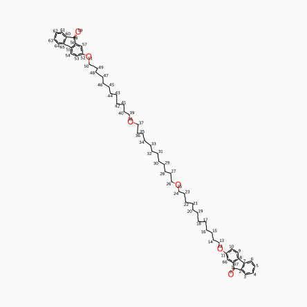 O=C1c2ccccc2-c2ccc(OCCCCCCCCCCCCOCCCCCCCCCCCCOCCCCCCCCCCCCOc3ccc4c(c3)C(=O)c3ccccc3-4)cc21